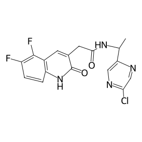 CC(NC(=O)Cc1cc2c(F)c(F)ccc2[nH]c1=O)c1cnc(Cl)cn1